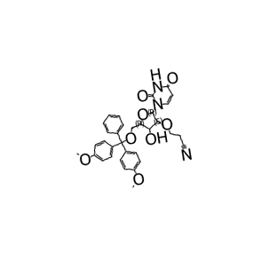 COc1ccc(C(OC[C@H]2O[C@@H](n3ccc(=O)[nH]c3=O)[C@@H](OCCC#N)C2O)(c2ccccc2)c2ccc(OC)cc2)cc1